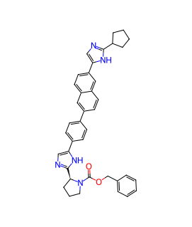 O=C(OCc1ccccc1)N1CCC[C@H]1c1ncc(-c2ccc(-c3ccc4cc(-c5cnc(C6CCCC6)[nH]5)ccc4c3)cc2)[nH]1